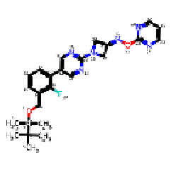 CC(C)(C)[Si](C)(C)OCc1cccc(-c2cnc(N3CC(=NOc4ncccn4)C3)nc2)c1F